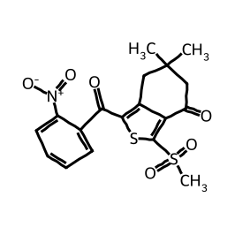 CC1(C)CC(=O)c2c(S(C)(=O)=O)sc(C(=O)c3ccccc3[N+](=O)[O-])c2C1